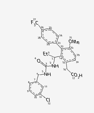 CCC(NC(=O)NCc1cccc(Cl)c1)c1c(CC(=O)O)ccc(OC)c1-c1ccc(C(F)(F)F)cc1